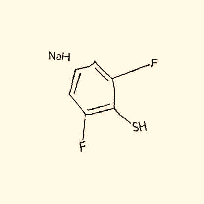 Fc1cccc(F)c1S.[NaH]